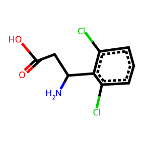 NC(CC(=O)O)c1c(Cl)cccc1Cl